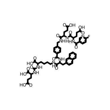 O=C(O)CCC(NC(=O)NC(CCCCNC(=O)C(Cc1ccc2ccccc2c1)NC(=O)c1ccc(CNC(=O)C(CCC(=O)O)NC(=O)C(CCC(=O)O)NC(=O)c2ccc(F)nc2)cc1)C(=O)O)C(=O)O